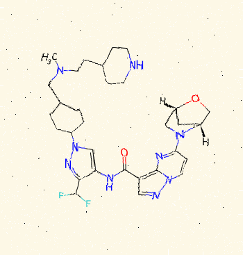 CN(CCC1CCNCC1)CC1CCC(n2cc(NC(=O)c3cnn4ccc(N5C[C@H]6C[C@@H]5CO6)nc34)c(C(F)F)n2)CC1